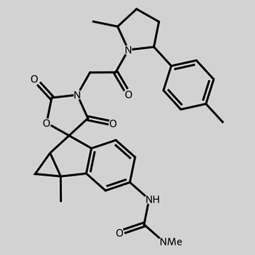 CNC(=O)Nc1ccc2c(c1)C1(C)CC1C21OC(=O)N(CC(=O)N2C(C)CCC2c2ccc(C)cc2)C1=O